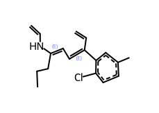 C=CN/C(=C/C=C(\C=C)c1cc(C)ccc1Cl)CCC